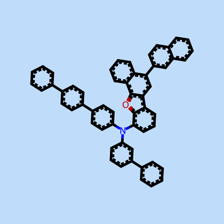 c1ccc(-c2ccc(-c3ccc(N(c4cccc(-c5ccccc5)c4)c4cccc5c4oc4c6ccccc6c(-c6ccc7ccccc7c6)cc54)cc3)cc2)cc1